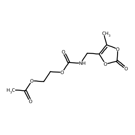 CC(=O)OCCOC(=O)NCc1oc(=O)oc1C